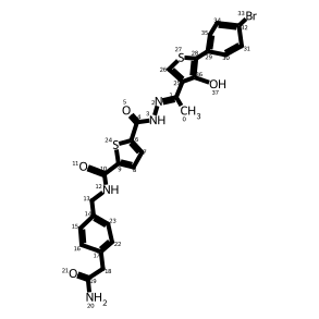 C/C(=N\NC(=O)c1ccc(C(=O)NCc2ccc(CC(N)=O)cc2)s1)c1csc(-c2ccc(Br)cc2)c1O